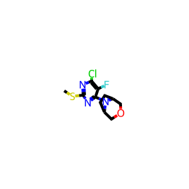 CSc1nc(Cl)c(F)c(N2C3CCC2COC3)n1